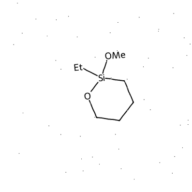 CC[Si]1(OC)CCCCO1